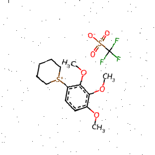 COc1ccc([S+]2CCCCC2)c(OC)c1OC.O=S(=O)([O-])C(F)(F)F